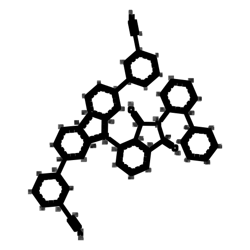 N#Cc1cccc(-c2ccc3c4ccc(-c5cccc(C#N)c5)cc4n(-c4cccc5c4C(=O)N(c4ccccc4-c4ccccc4)C5=O)c3c2)c1